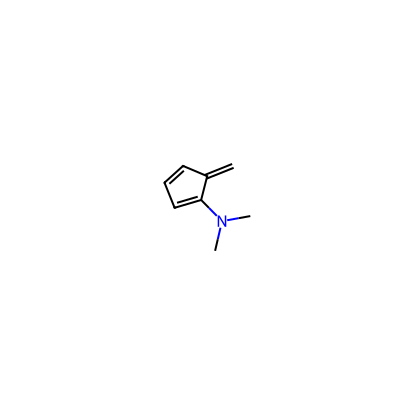 C=C1C=CC=C1N(C)C